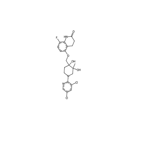 CC1(O)CN(c2ncc(Cl)cc2Cl)CCC1(O)COc1ccc(F)c2c1CCC(=O)N2